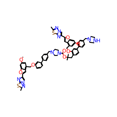 COc1cc(COc2cccc(-c3ccc(CN4CCN(C(=O)OC(C)(C)Cc5ccc(-c6ccc(CN7CCNCC7)cc6)cc5OCc5cc(OC)cc6oc(-c7cn8nc(C)sc8n7)cc56)CC4)cc3)c2)c2cc(-c3cn4nc(C)sc4n3)oc2c1